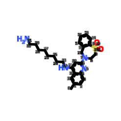 Cc1ccc2nc(N3CCS(=O)(=O)c4ccccc4C3)cc(NCCCCCCCCN)c2c1